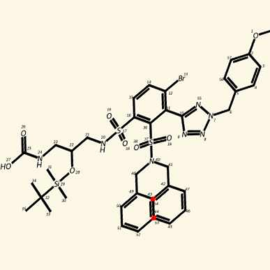 COc1ccc(Cn2nnc(-c3c(Br)ccc(S(=O)(=O)NCC(CNC(=O)O)O[Si](C)(C)C(C)(C)C)c3S(=O)(=O)N(Cc3ccccc3)Cc3ccccc3)n2)cc1